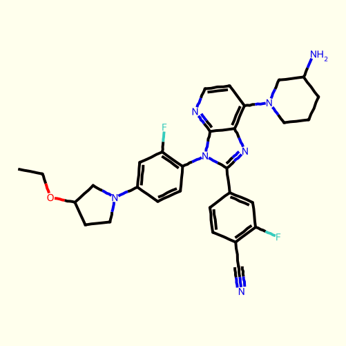 CCOC1CCN(c2ccc(-n3c(-c4ccc(C#N)c(F)c4)nc4c(N5CCCC(N)C5)ccnc43)c(F)c2)C1